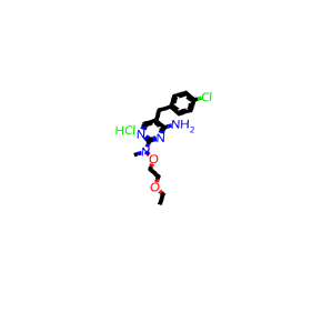 CCOCCON(C)c1ncc(Cc2ccc(Cl)cc2)c(N)n1.Cl